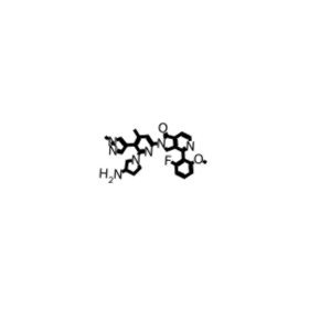 COc1cccc(F)c1-c1nccc2c1CN(c1cc(C)c(-c3cnn(C)c3)c(N3CCC(N)C3)n1)C2=O